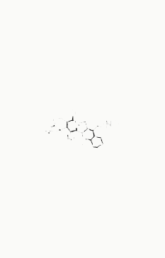 CCC1(O)C(=O)OCc2c1c([N+](=O)[O-])c1n(c2=O)Cc2c-1nc1ccccc1c2CO[N+](=O)[O-]